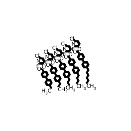 CCCCCCCc1ccc(-c2ccc(C(=O)Oc3ccc(Cl)nc3F)cc2)cc1.CCCCCc1ccc(-c2ccc(C(=O)Oc3ccc(Cl)nc3F)cc2)cc1.CCCCc1ccc(-c2ccc(C(=O)Oc3ccc(Cl)nc3F)cc2)cc1.CCCc1ccc(-c2ccc(C(=O)Oc3ccc(Cl)nc3F)cc2)cc1.CCc1ccc(-c2ccc(C(=O)Oc3ccc(Cl)nc3F)cc2)cc1